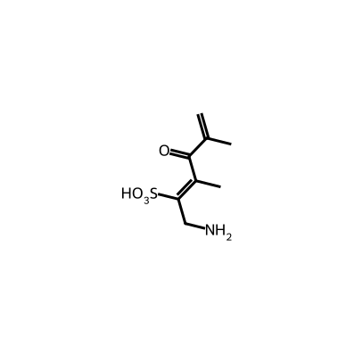 C=C(C)C(=O)C(C)=C(CN)S(=O)(=O)O